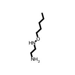 CCCCCONCCN